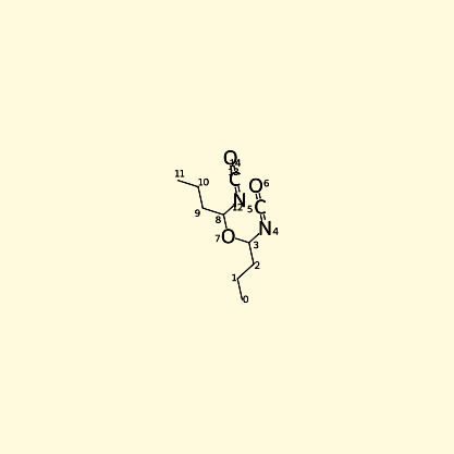 CCCC(N=C=O)OC(CCC)N=C=O